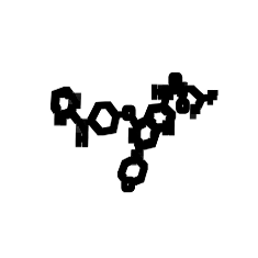 O=S(=O)(CC(F)F)Nc1cnc2cc(N3CCOCC3)nc(O[C@H]3CC[C@@H](Nc4ncccn4)CC3)c2c1